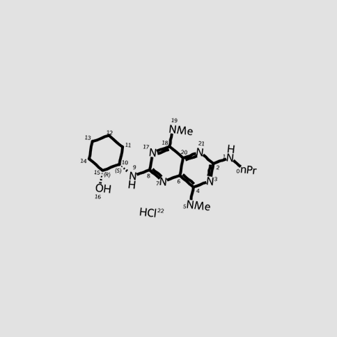 CCCNc1nc(NC)c2nc(N[C@H]3CCCC[C@H]3O)nc(NC)c2n1.Cl